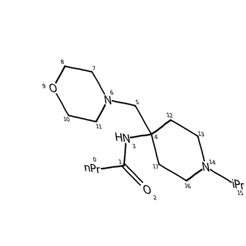 CCCC(=O)NC1(CN2CCOCC2)CCN(C(C)C)CC1